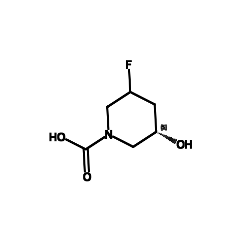 O=C(O)N1CC(F)C[C@H](O)C1